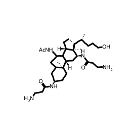 CC(=O)NC1CC2C[C@H](NC(=O)CCN)CC[C@]2(C)[C@H]2C[C@H](NC(=O)CCN)[C@]3(C)[C@@H]([C@H](C)CCCO)CC[C@H]3C12